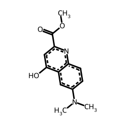 COC(=O)c1cc(O)c2cc(N(C)C)ccc2n1